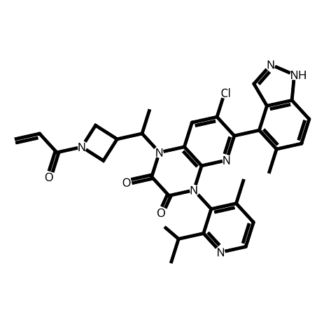 C=CC(=O)N1CC(C(C)n2c(=O)c(=O)n(-c3c(C)ccnc3C(C)C)c3nc(-c4c(C)ccc5[nH]ncc45)c(Cl)cc32)C1